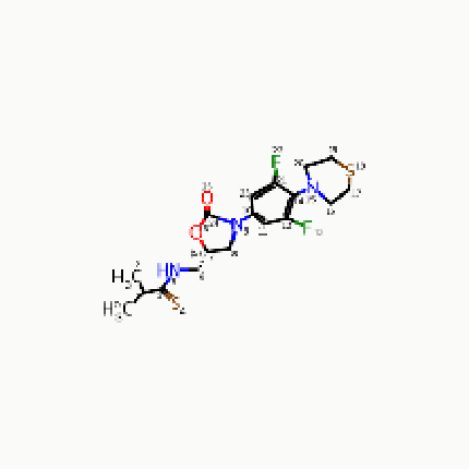 CC(C)C(=S)NC[C@H]1CN(c2cc(F)c(N3CCSCC3)c(F)c2)C(=O)O1